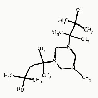 CN1CN(C(C)(C)CC(C)(C)O)CN(C(C)(C)C(C)(C)O)C1